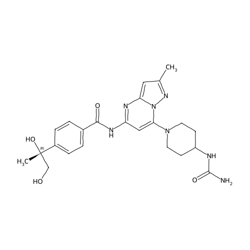 Cc1cc2nc(NC(=O)c3ccc([C@@](C)(O)CO)cc3)cc(N3CCC(NC(N)=O)CC3)n2n1